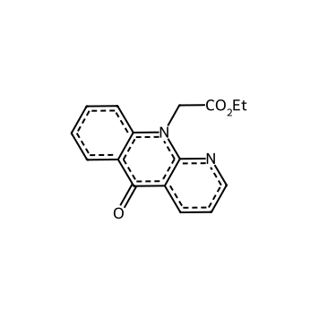 CCOC(=O)Cn1c2ccccc2c(=O)c2cccnc21